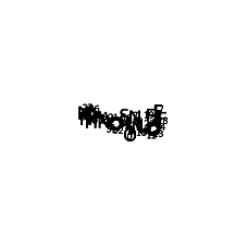 O=c1c2c3c(sc2ncn1Cc1cccc(C(F)(F)F)c1)CC(NCc1ccnnc1)CC3